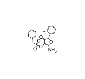 Cc1ccccc1C1OC(N)=C(OS(=O)(=O)Cc2ccccc2)C1=O